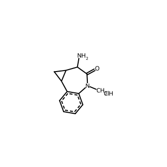 CN1C(=O)C(N)C2CC2c2ccccc21.Cl